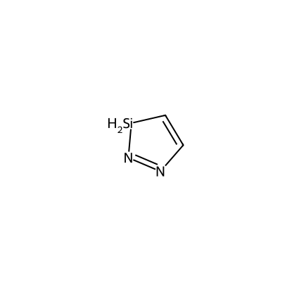 C1=C[SiH2]N=N1